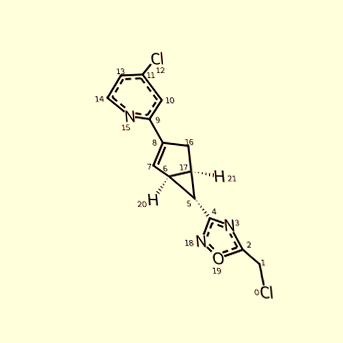 ClCc1nc([C@@H]2[C@H]3C=C(c4cc(Cl)ccn4)C[C@H]32)no1